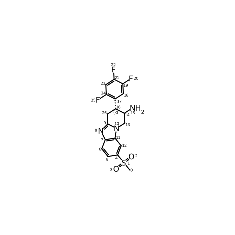 CS(=O)(=O)c1ccc2nc3n(c2c1)CC(N)[C@@H](c1cc(F)c(F)cc1F)C3